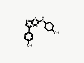 Oc1ccc(-c2cnc3sc(NC4CCC(O)CC4)nn23)cc1